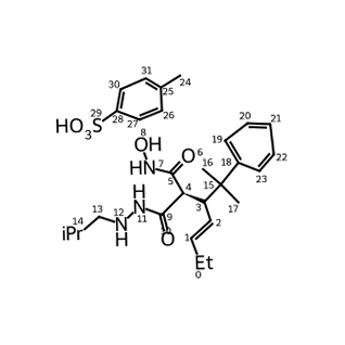 CCC=CC([C@H](C(=O)NO)C(=O)NNCC(C)C)C(C)(C)c1ccccc1.Cc1ccc(S(=O)(=O)O)cc1